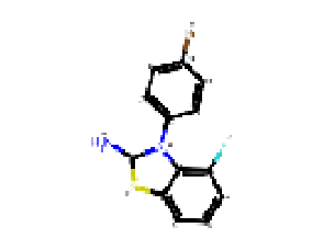 NC1Sc2cccc(F)c2N1c1ccc(Br)cc1